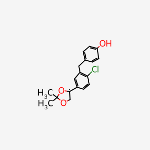 CC1(C)OC[C](c2ccc(Cl)c(Cc3ccc(O)cc3)c2)O1